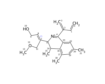 C=CC(=C)C1=NC(/C(=C/CO)COC)C(C)c2c(C)cc(C)cc21